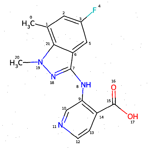 Cc1cc(F)cc2c(Nc3cnccc3C(=O)O)nn(C)c12